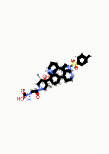 Cc1ccc(S(=O)(=O)n2cc(-c3cccnc3)c3c(-c4cc(C)c(C5(O)[C@H](C)CN(C(=O)CNC(=O)O)C[C@@H]5C)c(F)c4)ccnc32)cc1